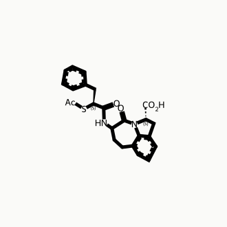 CC(=O)S[C@@H](Cc1ccccc1)C(=O)NC1CCc2cccc3c2N(C1=O)[C@H](C(=O)O)C3